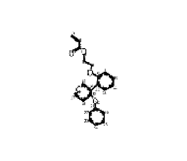 C=CC(=O)OCCOc1ccccc1-c1ccccc1Oc1ccccc1